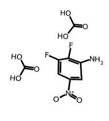 Nc1cc([N+](=O)[O-])cc(F)c1F.O=C(O)O.O=C(O)O